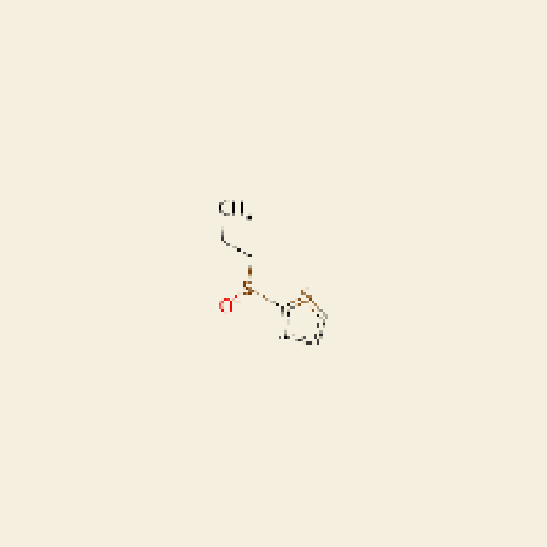 CCC[S+]([O-])c1[c]ccs1